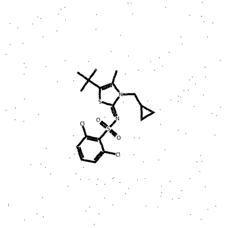 Cc1c(C(C)(C)C)s/c(=N\S(=O)(=O)c2c(Cl)cccc2Cl)n1CC1CC1